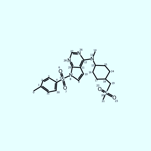 Cc1ccc(S(=O)(=O)n2ccc3c(N(C)C4CCC(CS(C)(=O)=O)CC4)ncnc32)cc1